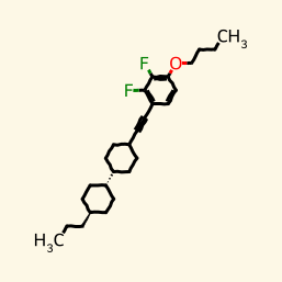 CCCCOc1ccc(C#CC2CCC([C@H]3CC[C@H](CCC)CC3)CC2)c(F)c1F